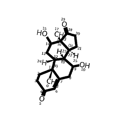 C[C@]12CCC(=O)C=C1CC(O)[C@@H]1[C@H]2CC(O)[C@]2(C)C(=O)CC[C@@H]12